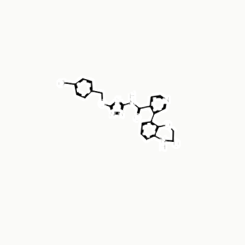 O=C1COc2c(cccc2-c2cnccc2C(=O)Nc2nnc(OCc3ccc(Cl)cc3)s2)N1